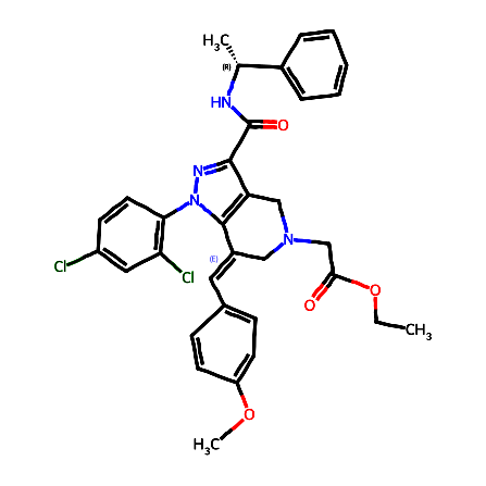 CCOC(=O)CN1C/C(=C\c2ccc(OC)cc2)c2c(c(C(=O)N[C@H](C)c3ccccc3)nn2-c2ccc(Cl)cc2Cl)C1